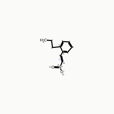 CCCc1ccccc1/C=C/[N+](=O)[O-]